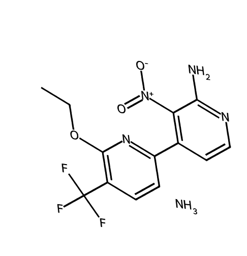 CCOc1nc(-c2ccnc(N)c2[N+](=O)[O-])ccc1C(F)(F)F.N